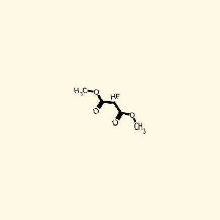 COC(=O)CC(=O)OC.F